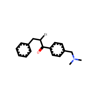 CCC(Cc1ccccc1)C(=O)c1ccc(CN(C)C)cc1